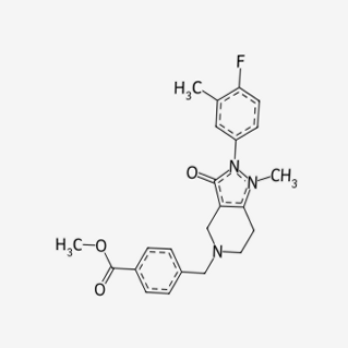 COC(=O)c1ccc(CN2CCc3c(c(=O)n(-c4ccc(F)c(C)c4)n3C)C2)cc1